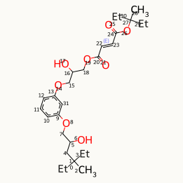 CCC(C)(CC)CC(O)COc1cccc(OCC(O)COC(=O)/C=C/C(=O)OC(C)(CC)CC)c1